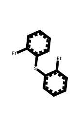 CCc1ccccc1Sc1ccccc1CC